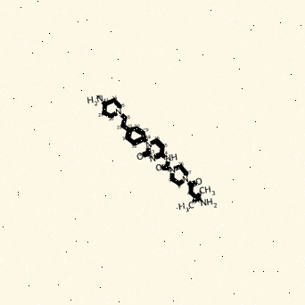 CC(C)(N)CC(=O)N1CCN(C(=O)Nc2ccn(-c3ccc(CCN4CCC(N)CC4)cc3)c(=O)n2)CC1